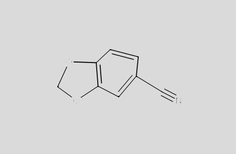 N#Cc1ccc2c(c1)O[CH]O2